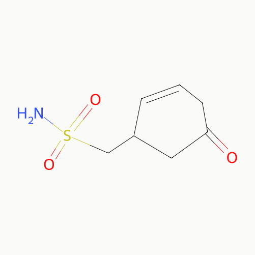 NS(=O)(=O)CC1C=CCC(=O)C1